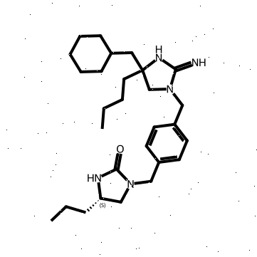 CCCCC1(CC2CCCCC2)CN(Cc2ccc(CN3C[C@H](CCC)NC3=O)cc2)C(=N)N1